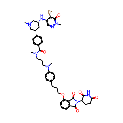 CN1C[C@H](Nc2cnn(C)c(=O)c2Br)C[C@H](c2ccc(C(=O)N(C)CCCN(C)c3ccc(CCCOc4cccc5c4C(=O)N(C4CCC(=O)NC4=O)C5=O)cc3)cc2)C1